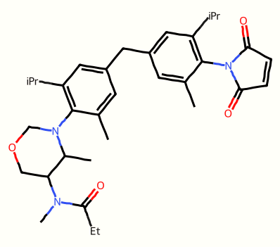 CCC(=O)N(C)C1COCN(c2c(C)cc(Cc3cc(C)c(N4C(=O)C=CC4=O)c(C(C)C)c3)cc2C(C)C)C1C